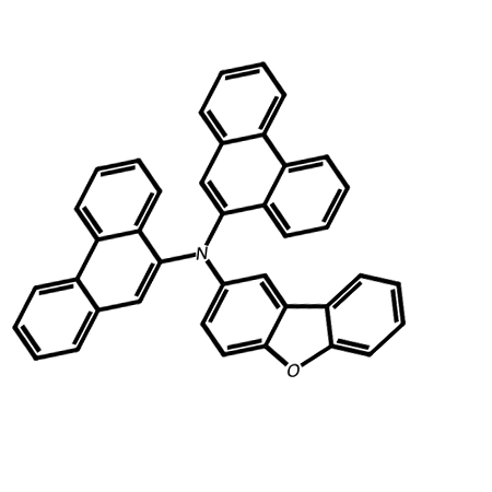 c1ccc2c(c1)cc(N(c1ccc3oc4ccccc4c3c1)c1cc3ccccc3c3ccccc13)c1ccccc12